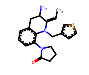 CC=C1C(N)Cc2cccc(N3CCCC3=O)c2N1Cc1ccsc1